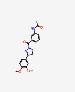 COc1ccc(C2=NN(C(=O)c3cccc(NC(C)=O)c3)CC2)cc1OC